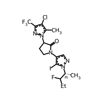 CCC(F)[C@@H](C)n1ncc(N2CCC(n3nc(C(F)(F)F)c(Cl)c3C)C2=O)c1I